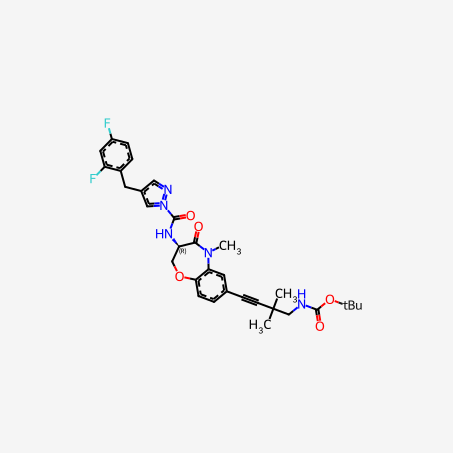 CN1C(=O)[C@H](NC(=O)n2cc(Cc3ccc(F)cc3F)cn2)COc2ccc(C#CC(C)(C)CNC(=O)OC(C)(C)C)cc21